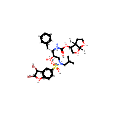 CC(C)CN(C[C@@H](O)[C@H](Cc1ccccc1)NC(=O)OC1CO[C@H]2OCC[C@@H]12)S(=O)(=O)c1ccc2c(c1)C(Br)C(Br)O2